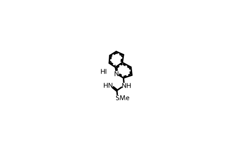 CSC(=N)Nc1ccc2ccccc2n1.I